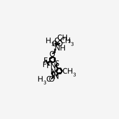 COc1cnc2c(-c3nc4c(C(F)(F)F)cc(OCCNC(=O)OC(C)(C)C)cc4s3)cc(C)cc2n1